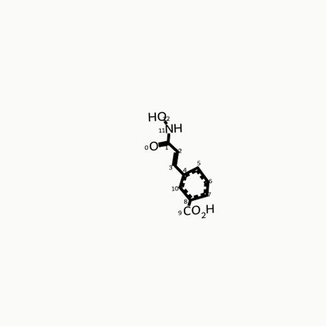 O=C(C=Cc1cccc(C(=O)O)c1)NO